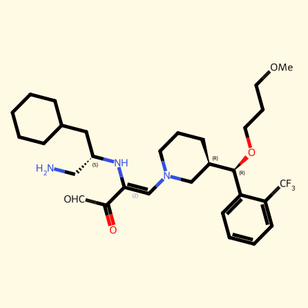 COCCCO[C@@H](c1ccccc1C(F)(F)F)[C@@H]1CCCN(/C=C(\N[C@H](CN)CC2CCCCC2)C(=O)C=O)C1